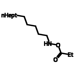 CCCCCCCCCCCCNOC(=O)CC